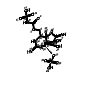 N=C1N[C@H]2[C@H](COC(=O)NS(=O)(=O)O)NC(=N)N3C[C@@H](OS(=O)(=O)O)C(O)(O)C23N1